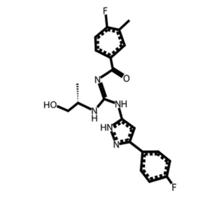 Cc1cc(C(=O)/N=C(\Nc2cc(-c3ccc(F)cc3)n[nH]2)N[C@@H](C)CO)ccc1F